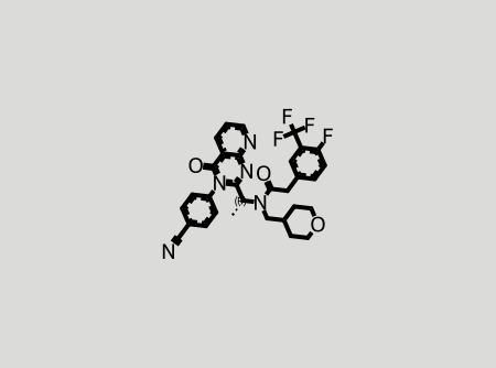 C[C@H](c1nc2ncccc2c(=O)n1-c1ccc(C#N)cc1)N(CC1CCOCC1)C(=O)Cc1ccc(F)c(C(F)(F)F)c1